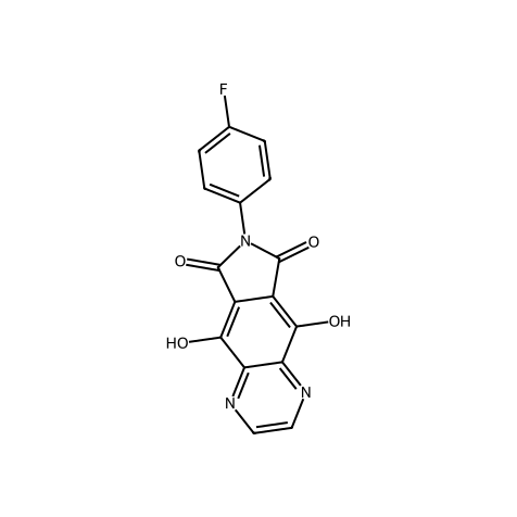 O=C1c2c(c(O)c3nccnc3c2O)C(=O)N1c1ccc(F)cc1